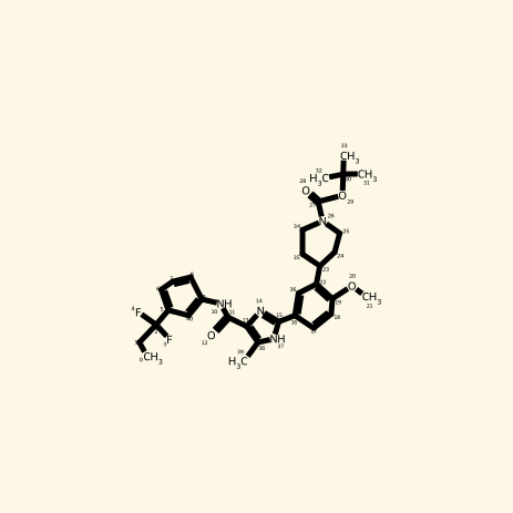 CCC(F)(F)c1cccc(NC(=O)c2nc(-c3ccc(OC)c(C4CCN(C(=O)OC(C)(C)C)CC4)c3)[nH]c2C)c1